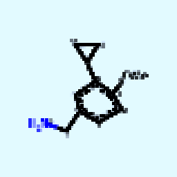 COc1ccc(CN)cc1C1CC1